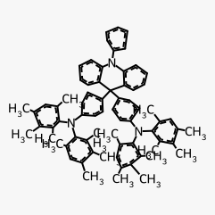 Cc1cc(C)c(N(c2ccc(C3(c4ccc(N(c5c(C)cc(C)c(C)c5C)c5c(C)cc(C)c(C)c5C)cc4)c4ccccc4N(c4ccccc4)c4ccccc43)cc2)c2c(C)cc(C)c(C)c2C)c(C)c1C